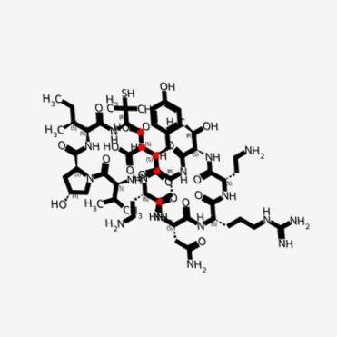 CC[C@H](C)[C@H](NC(=O)[C@@H]1C[C@@H](O)CN1C(=O)[C@@H](N)C(C)C)C(=O)N[C@H](C(=O)N[C@@H](Cc1ccc(O)cc1)C(=O)N[C@@H](CCN)C(=O)N[C@@H](CC(N)=O)C(=O)N[C@@H](CCCNC(=N)N)C(=O)N[C@@H](CCN)C(=O)N[C@H](C(=O)N[C@H](CCN)C(=O)N[C@@H](CO)C(=O)O)[C@@H](C)O)C(C)(C)S